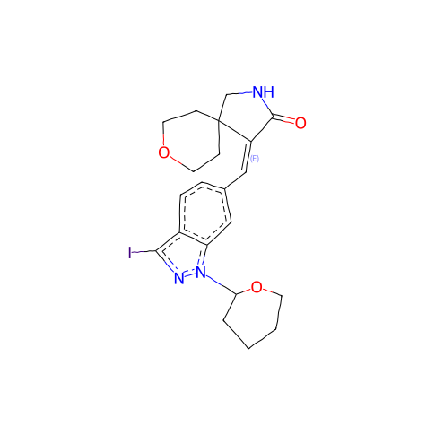 O=C1NCC2(CCOCC2)/C1=C\c1ccc2c(I)nn(C3CCCCO3)c2c1